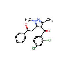 Cc1nn(C)c(CC(=O)c2ccccc2)c1C(=O)c1ccc(Cl)cc1Cl